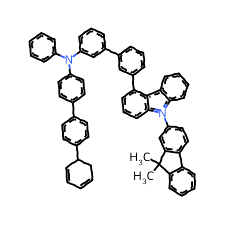 CC1(C)c2ccccc2-c2ccc(-n3c4ccccc4c4c(-c5cccc(-c6cccc(N(c7ccccc7)c7ccc(-c8ccc(C9C=CC=CC9)cc8)cc7)c6)c5)cccc43)cc21